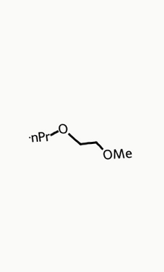 CC[CH]OCCOC